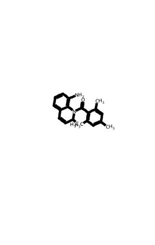 Cc1cc(C)c(C(=O)N2c3c(N)cccc3C=CC2C)c(C)c1